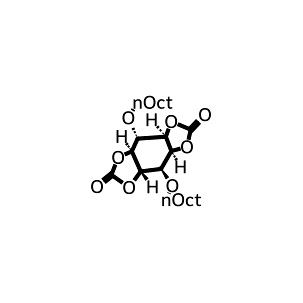 CCCCCCCCO[C@@H]1[C@H]2OC(=O)O[C@H]2[C@@H](OCCCCCCCC)[C@@H]2OC(=O)O[C@@H]12